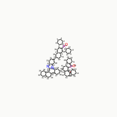 O=P(c1ccccc1)(c1ccccc1)c1ccc2cc(-c3ccc4nc5c6c7ccccc7ccc6c6ccc(-c7ccc(P(=O)(c8ccccc8)c8ccccc8)c8ccccc78)cc6n5c4c3)ccc2c1